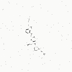 CC(C)=CCn1c(N2CCCC(NC(=O)OC(C)(C)C)C2)nc2c1c(=O)n(CC(=O)c1cccc3c1oc(=O)n3COCC[Si](C)(C)C)c(=O)n2C